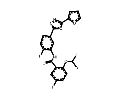 O=C(Nc1cc(-c2nnc(-c3ccco3)o2)ccc1F)c1cc(F)ccc1OC(F)F